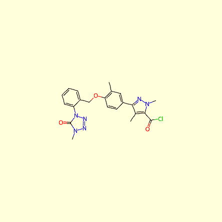 Cc1cc(-c2nn(C)c(C(=O)Cl)c2C)ccc1OCc1ccccc1-n1nnn(C)c1=O